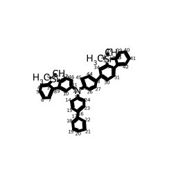 C[Si]1(C)c2ccccc2-c2cc(N(c3ccc(-c4ccccc4)cc3)c3ccc(-c4ccc5c(c4)[Si](C)(C)c4ccccc4-5)cc3)ccc21